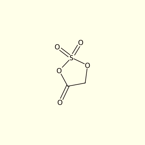 O=C1COS(=O)(=O)O1